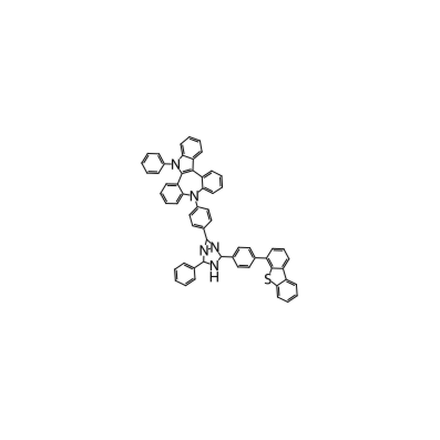 c1ccc(C2NC(c3ccc(-c4cccc5c4sc4ccccc45)cc3)N3C(c4ccc(N5c6ccccc6-c6c(n(-c7ccccc7)c7ccccc67)-c6ccccc65)cc4)N23)cc1